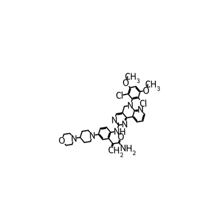 C=C(C(N)=O)c1cc(N2CCC(N3CCOCC3)CC2)ccc1Nc1ncc2c(n1)-c1cccnc1N(c1c(Cl)c(OC)cc(OC)c1Cl)C2